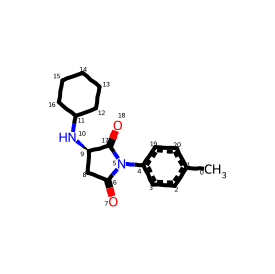 Cc1ccc(N2C(=O)C[C@@H](NC3CCCCC3)C2=O)cc1